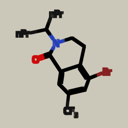 CCCC(CCC)N1CCc2c(Br)cc(C(F)(F)F)cc2C1=O